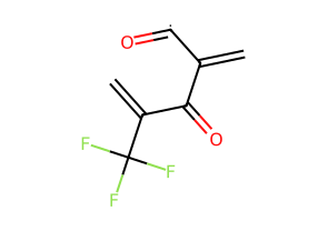 C=C([C]=O)C(=O)C(=C)C(F)(F)F